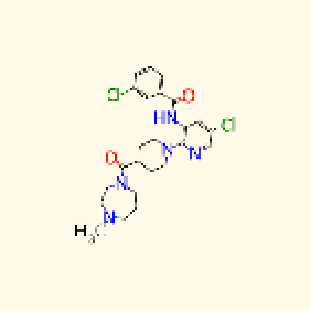 CN1CCCN(C(=O)C2CCN(c3ncc(Cl)cc3NC(=O)c3cccc(Cl)c3)CC2)CC1